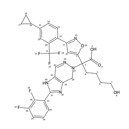 O=C(O)C(CCCCO)(c1cc(-c2ccc(C3CC3)cc2C(F)(F)F)no1)N1Cc2nc(-c3cccc(F)c3F)[nH]c2C=N1